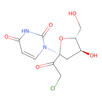 O=C(CCl)[C@]1(n2ccc(=O)[nH]c2=O)C[C@H](O)[C@@H](CO)O1